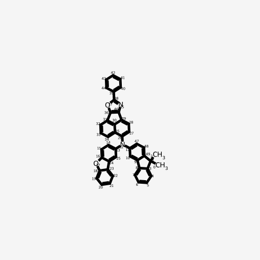 CC1(C)c2ccccc2-c2cc(N(c3ccc4oc5ccccc5c4c3)c3ccc4c5c(cccc35)-c3oc(-c5ccccc5)nc3-4)ccc21